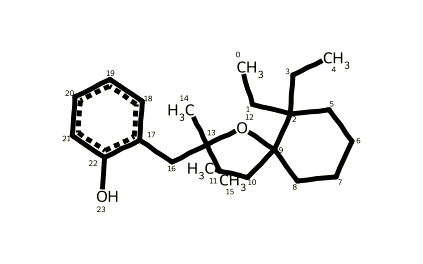 CCC1(CC)CCCCC1(CC)OC(C)(C)Cc1ccccc1O